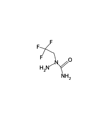 NC(=O)N(N)CC(F)(F)F